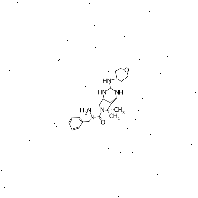 CC1(C)C2=CNC(NC3CCOCC3)NC2CN1C(=O)N(N)Cc1ccccc1